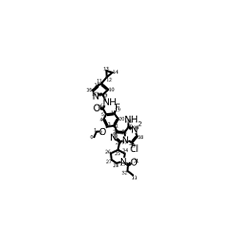 CCOc1cc(C(=O)Nc2cc(C3CC3)ccn2)c(F)cc1-c1nc(C2CCCN(C(=O)CC)C2)n2c(Cl)cnc(N)c12